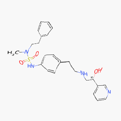 CN(CCc1ccccc1)S(=O)(=O)Nc1ccc(CCNC[C@H](O)c2cccnc2)cc1